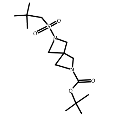 CC(C)(C)CS(=O)(=O)N1CC2(CN(C(=O)OC(C)(C)C)C2)C1